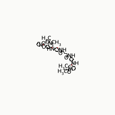 CCC(=O)N1c2cc(OC(=O)N3CC=CCC3)ccc2C(Nc2ccc(NC(=O)CCCC(=O)Nc3ccc(N[C@@H]4C[C@H](C)N(C(=O)CC)c5ccccc54)cc3)cc2)CC1C